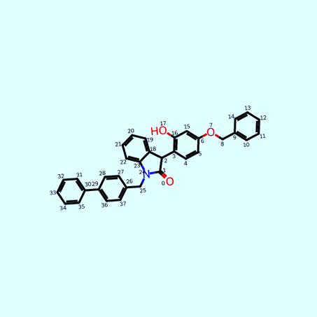 O=C1C(c2ccc(OCc3ccccc3)cc2O)c2ccccc2N1Cc1ccc(-c2ccccc2)cc1